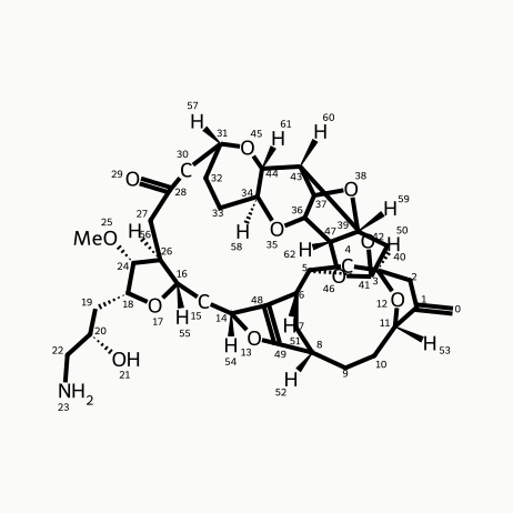 C=C1C[C@@H]2CC3[C@@H]4C[C@H](CC[C@@H]1O2)O[C@H](C[C@@H]1O[C@H](C[C@H](O)CN)[C@H](OC)[C@H]1CC(=O)C[C@H]1CC[C@@H]2OC5C6O[C@@H]7C[C@]3(O[C@H]6[C@H]2O1)O[C@H]57)C4=C